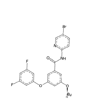 CC[C@H](C)Oc1cc(Oc2cc(F)cc(F)c2)cc(C(=O)Nc2ccc(Br)cn2)c1